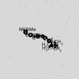 COc1cc(OC2CCC(NC(=O)c3ccc(N4CCC5(CCN(c6ccc(C7=N[C@@H](C)c8nnc(C)n8-c8sc(C)c(C)c87)c(F)c6)CC5)C4)nn3)CC2)ccc1C#N